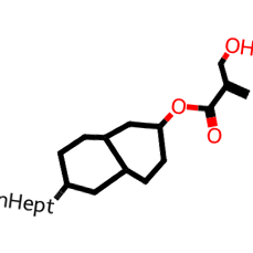 C=C(CO)C(=O)OC1CCC2CC(CCCCCCC)CCC2C1